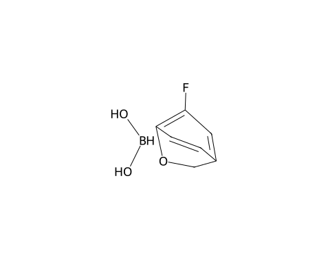 Fc1cc2ccc1OC2.OBO